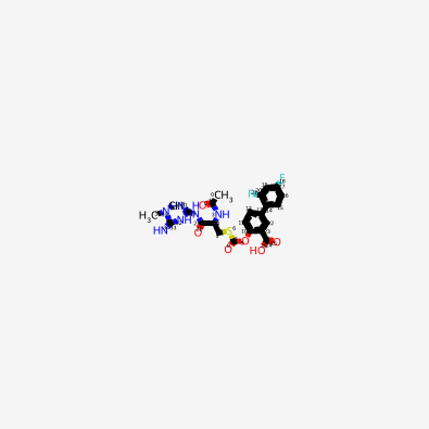 CC(=O)NC(CSC(=O)Oc1ccc(-c2ccc(F)cc2F)cc1C(=O)O)C(=O)NC(=N)NC(=N)N(C)C